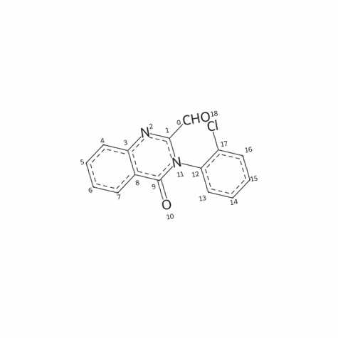 O=Cc1nc2ccccc2c(=O)n1-c1ccccc1Cl